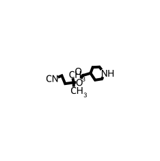 [C-]#[N+]CCC(C)(C)OC(=O)C1CCNCC1